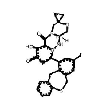 O=C1c2c(O)c(=O)cc(-c3cc(F)cc4c3Cc3ccccc3SC4)n2N[C@@H]2COC3(CC3)CN12